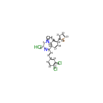 CN1CCN=C(C=Cc2ccc(Cl)c(Cl)c2)c2ccc(-c3cccs3)cc21.Cl